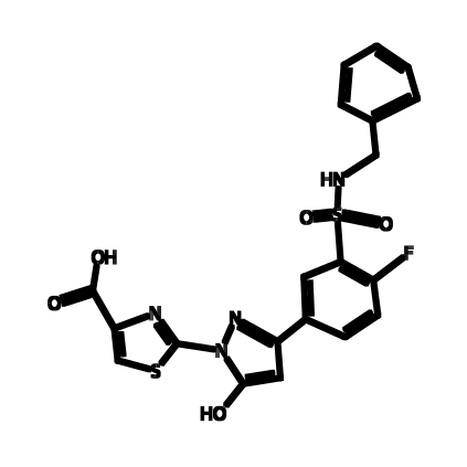 O=C(O)c1csc(-n2nc(-c3ccc(F)c(S(=O)(=O)NCc4ccccc4)c3)cc2O)n1